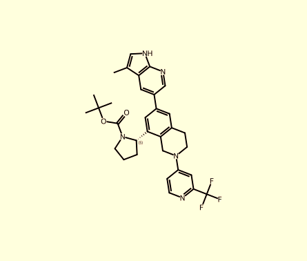 Cc1c[nH]c2ncc(-c3cc4c(c([C@@H]5CCCN5C(=O)OC(C)(C)C)c3)CN(c3ccnc(C(F)(F)F)c3)CC4)cc12